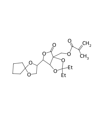 C=C(C)C(=O)OCC12OC(CC)(CC)OC1C(C1COC3(CCCC3)O1)OC2=O